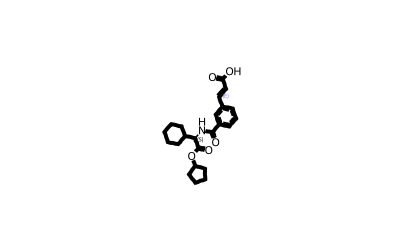 O=C(O)/C=C/c1cccc(C(=O)N[C@H](C(=O)OC2CCCC2)C2CCCCC2)c1